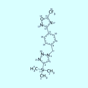 C[Si](C)(C)c1cn(Cc2ccc(-c3noc(C(F)(F)F)n3)cc2)nn1